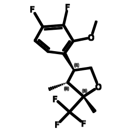 COc1c([C@H]2CO[C@](C)(C(F)(F)F)[C@@H]2C)ccc(F)c1F